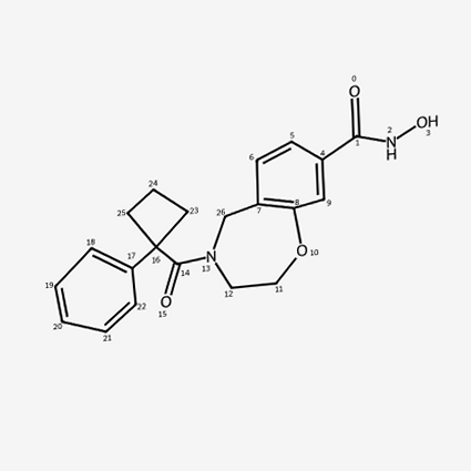 O=C(NO)c1ccc2c(c1)OCCN(C(=O)C1(c3ccccc3)CCC1)C2